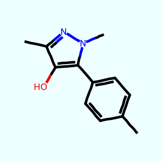 Cc1ccc(-c2c(O)c(C)nn2C)cc1